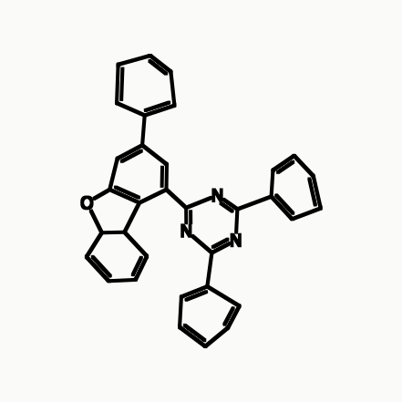 C1=CC2Oc3cc(-c4ccccc4)cc(-c4nc(-c5ccccc5)nc(-c5ccccc5)n4)c3C2C=C1